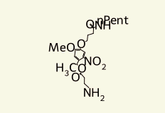 CCCCCNC(=O)CCCOc1cc([N+](=O)[O-])c(C(C)OC(=O)CCCN)cc1OC